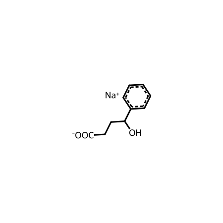 O=C([O-])CCC(O)c1ccccc1.[Na+]